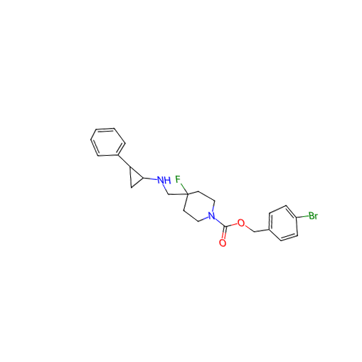 O=C(OCc1ccc(Br)cc1)N1CCC(F)(CNC2CC2c2ccccc2)CC1